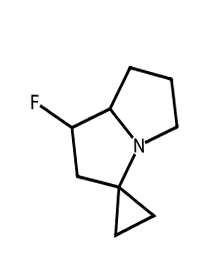 FC1CC2(CC2)N2CCCC12